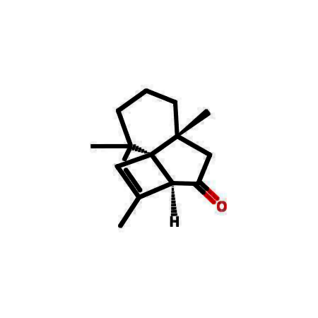 CC1=C[C@]23[C@H]1C(=O)C[C@@]2(C)CCCC3(C)C